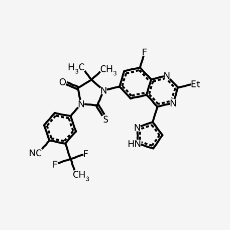 CCc1nc(-c2cc[nH]n2)c2cc(N3C(=S)N(c4ccc(C#N)c(C(C)(F)F)c4)C(=O)C3(C)C)cc(F)c2n1